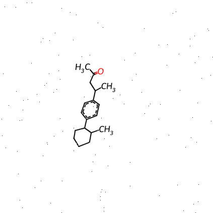 CC(=O)CC(C)c1ccc(C2CCCCC2C)cc1